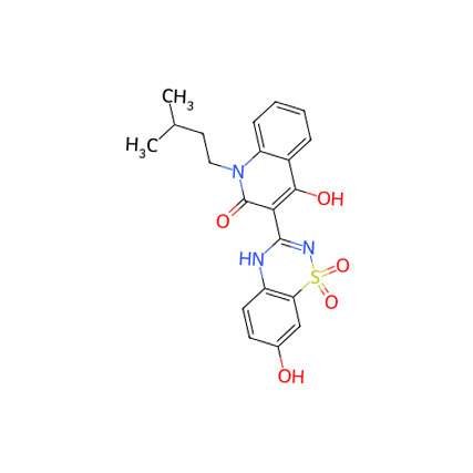 CC(C)CCn1c(=O)c(C2=NS(=O)(=O)c3cc(O)ccc3N2)c(O)c2ccccc21